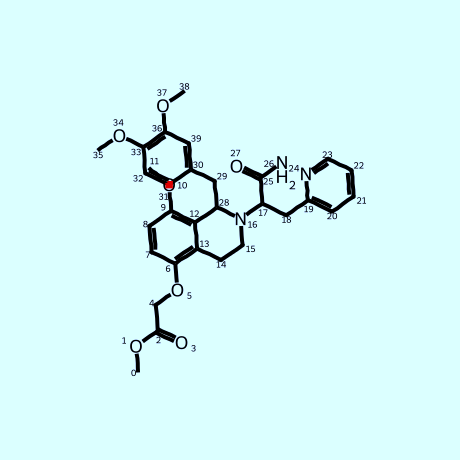 COC(=O)COc1ccc(OC)c2c1CCN(C(Cc1ccccn1)C(N)=O)C2Cc1ccc(OC)c(OC)c1